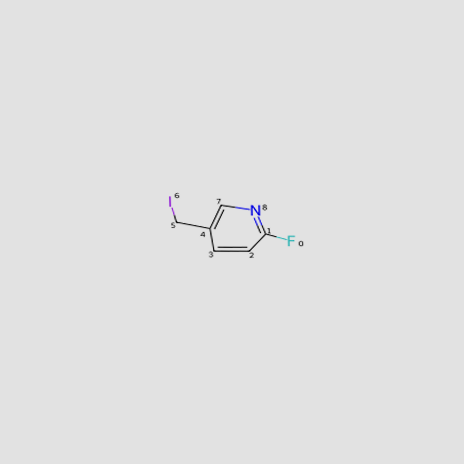 Fc1ccc(CI)cn1